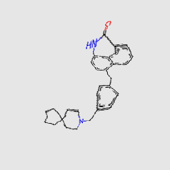 O=C1Nc2ccc(Cc3ccc(CN4CCC5(CCCC5)CC4)cc3)c3cccc1c23